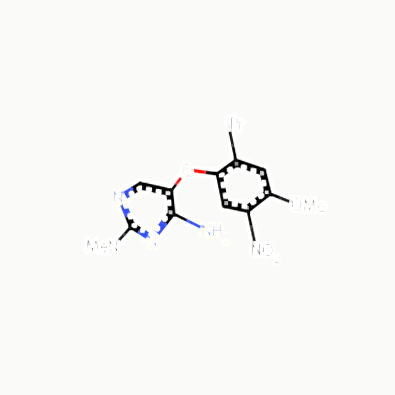 CNc1ncc(Oc2cc([N+](=O)[O-])c(OC)cc2C(C)C)c(N)n1